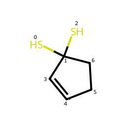 SC1(S)C=[C]CC1